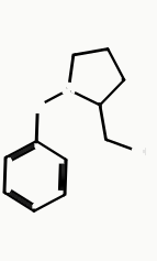 OCC1CCCN1Oc1ccccc1